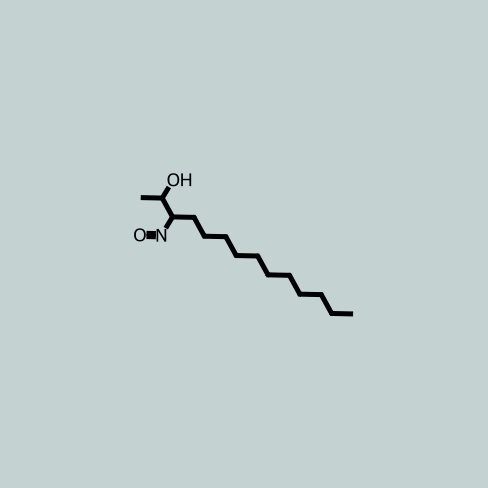 CCCCCCCCCCCC(N=O)C(C)O